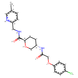 O=C(COc1ccc(Cl)cc1)N[C@H]1CC[C@H](C(=O)NCc2ccc(C(F)(F)F)cn2)OC1